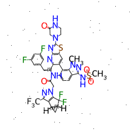 Cn1nc(NS(C)(=O)=O)c2cccc(-c3cc4sc(N5CCNC(=O)C5)nc4nc3[C@H](Cc3cc(F)cc(F)c3)NC(=O)Cn3nc(C(F)(F)F)c4c3C(F)(F)[C@@H]3C[C@H]43)c21